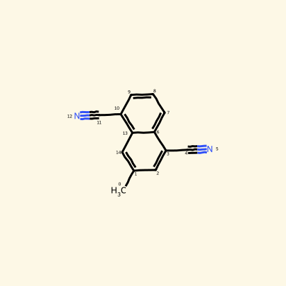 Cc1cc(C#N)c2cccc(C#N)c2c1